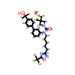 CC(C)(O)c1ccc(-c2cccc(N(CCCCCc3noc(C(C)(C)F)n3)C(=O)N3CC4(C3)C[S+]([O-])C4)c2)cc1